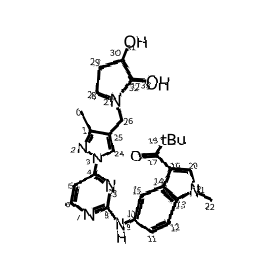 Cc1nn(-c2ccnc(Nc3ccc4c(c3)c(C(=O)C(C)(C)C)cn4C)n2)cc1CN1CCC(O)C1O